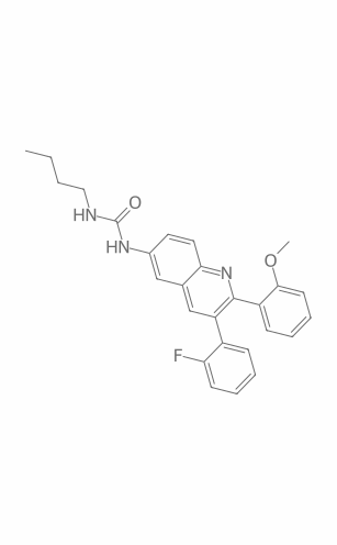 CCCCNC(=O)Nc1ccc2nc(-c3ccccc3OC)c(-c3ccccc3F)cc2c1